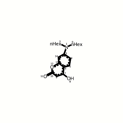 CCCCCCN(CCCCCC)c1ccc2c(O)cc(=O)oc2c1